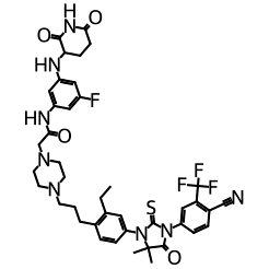 CCc1cc(N2C(=S)N(c3ccc(C#N)c(C(F)(F)F)c3)C(=O)C2(C)C)ccc1CCCN1CCN(CC(=O)Nc2cc(F)cc(NC3CCC(=O)NC3=O)c2)CC1